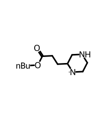 CCCCOC(=O)CCC1CNCC[N]1